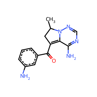 CC1CC(C(=O)c2cccc(N)c2)=C2C(N)=NC=NN21